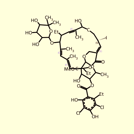 CCc1c(Cl)c(O)c(Cl)c(O)c1C(=O)OC1C(C)OC(OC/C2=C\[C@@H](I)CCC(O)/C(C)=C/C(CC)C(OC3OC(C)(C)C(O)C(O)C3O)/C(C)=C/C(C)=C/CC(CC)OC2=O)C(OC)C1O